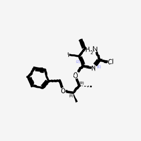 C=C/C(I)=C(\N=C(/N)Cl)O[C@H](C)[C@@H](C)OCc1ccccc1